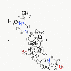 C=CC[N+]1(C)CCN([C@H]2C[C@H]3[C@@H]4CC[C@H]5C[C@H](OC(C)=O)[C@@H](N6CCC(=O)CC6)C[C@]5(C)[C@H]4CC[C@]3(C)[C@H]2OC(C)=O)CC1.[Br-]